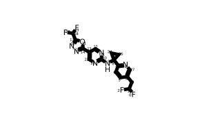 FC(F)Cc1ccc(C2(Nc3ncc(-c4nnc(C(F)F)o4)cn3)CC2)nc1